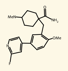 CNC1CCC(Cc2cc(-c3ccnc(F)c3)ccc2OC)(C(N)=O)CC1